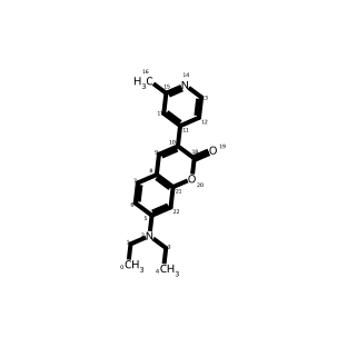 CCN(CC)c1ccc2cc(-c3ccnc(C)c3)c(=O)oc2c1